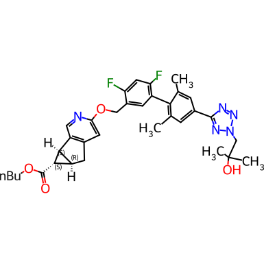 CCCCOC(=O)[C@H]1[C@@H]2Cc3cc(OCc4cc(-c5c(C)cc(-c6nnn(CC(C)(C)O)n6)cc5C)c(F)cc4F)ncc3[C@@H]21